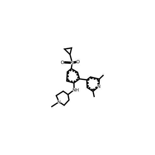 Cc1cc(-c2cc(S(=O)(=O)C3CC3)ccc2NC2CCN(C)CC2)cc(C)n1